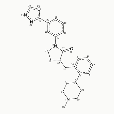 CN1CCN(c2ccccc2CC2CCN(c3cccc(-c4nnco4)c3)C2=O)CC1